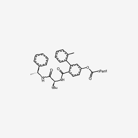 CCCCCC(=O)Oc1ccc(C(=O)N[C@H](C(=O)N[C@H](C)c2ccccc2)C(C)(C)C)c(-c2ccccc2C)c1